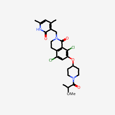 COC(C)C(=O)N1CCC(Oc2cc(Cl)c3c(c2Cl)C(=O)N(Cc2c(C)cc(C)[nH]c2=O)CC3)CC1